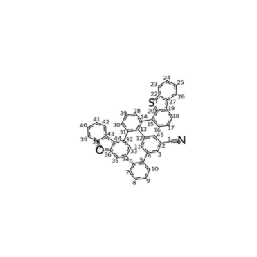 N#Cc1cc(-c2ccccc2)cc(-c2c(-c3cccc4c3sc3ccccc34)cccc2-c2cccc3oc4ccccc4c23)c1